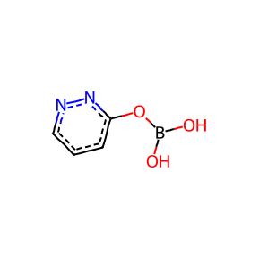 OB(O)Oc1cccnn1